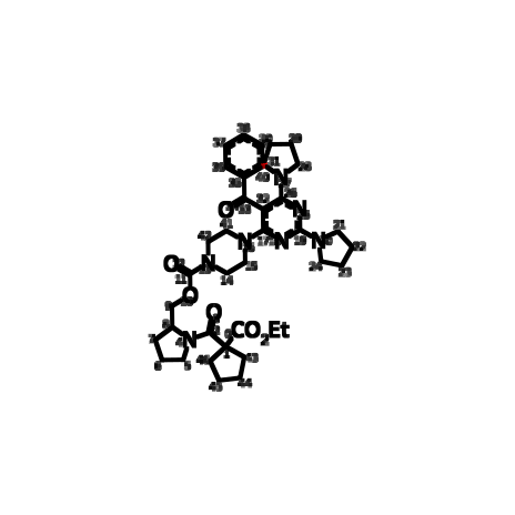 CCOC(=O)C1(C(=O)N2CCCC2COC(=O)N2CCN(c3nc(N4CCCC4)nc(N4CCCC4)c3C(=O)c3ccccc3)CC2)CCCC1